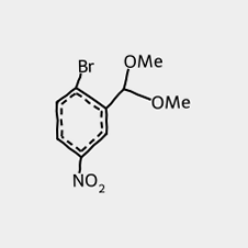 COC(OC)c1cc([N+](=O)[O-])ccc1Br